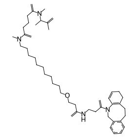 C=C(CCOCCCCCCCCCCCN(C)C(=C)CCCC(=C)N(C)C(C)C(=C)C)NCCC(=C)N1Cc2ccccc2CCC2=C1C=CCC2